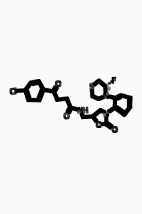 O=C(CCC(=O)c1ccc(Cl)cc1)NCC1CN(c2ccccc2N2CCSC[C@@H]2F)C(=O)O1